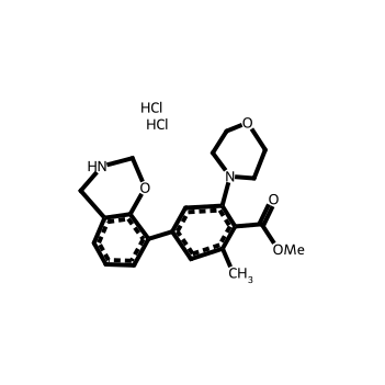 COC(=O)c1c(C)cc(-c2cccc3c2OCNC3)cc1N1CCOCC1.Cl.Cl